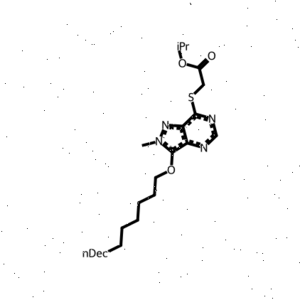 CCCCCCCCCCCCCCCCOc1c2ncnc(SCC(=O)OC(C)C)c2nn1C